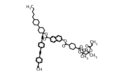 C#Cc1ccc(C#Cc2ccc(C#CC3(OC(=O)c4ccc5cc(OC(=O)C6CCC(C(=O)OC(C)(C)CC(C)(C)OC(=O)C=C)CC6)ccc5c4)CCC(C4CCC(CCCCC)CC4)CC3)cc2)cc1